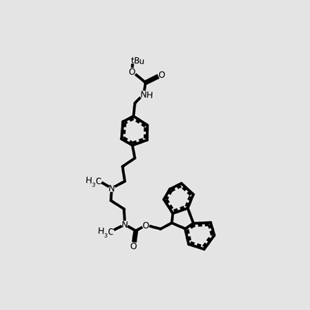 CN(CCCc1ccc(CNC(=O)OC(C)(C)C)cc1)CCN(C)C(=O)OCC1c2ccccc2-c2ccccc21